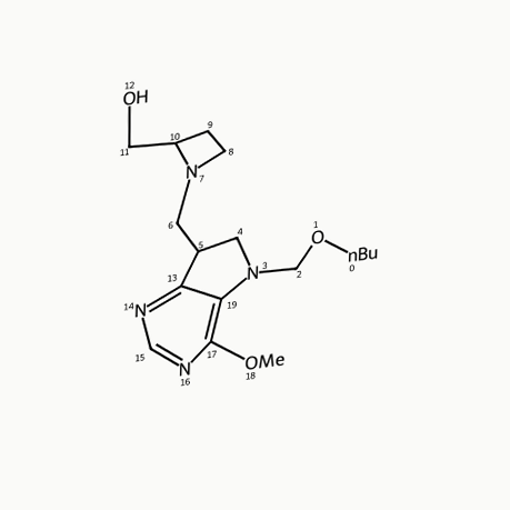 CCCCOCN1CC(CN2CCC2CO)c2ncnc(OC)c21